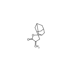 C=C1CC2(OC1=O)C1CC3CC(C1)CC2C3